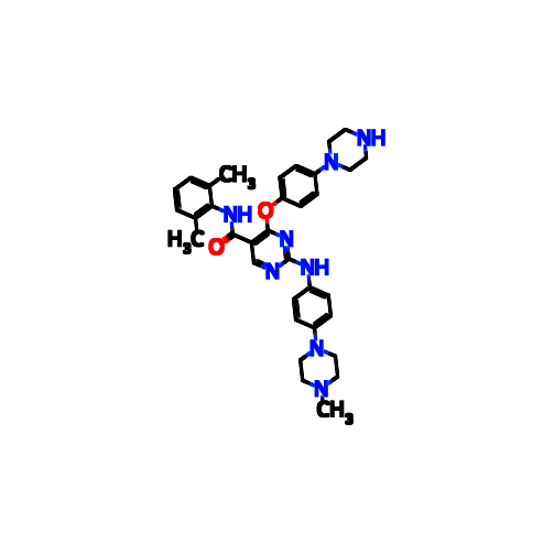 Cc1cccc(C)c1NC(=O)c1cnc(Nc2ccc(N3CCN(C)CC3)cc2)nc1Oc1ccc(N2CCNCC2)cc1